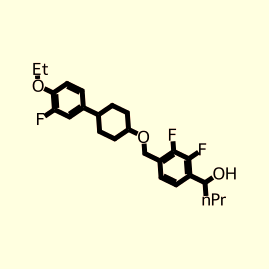 CCCC(O)c1ccc(COC2CCC(c3ccc(OCC)c(F)c3)CC2)c(F)c1F